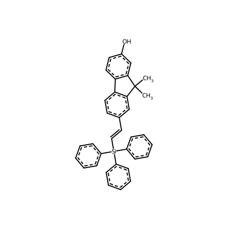 CC1(C)c2cc(O)ccc2-c2ccc(/C=C/[Si](c3ccccc3)(c3ccccc3)c3ccccc3)cc21